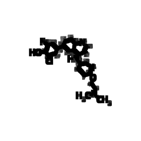 CN(C)CCOc1ccc(Nc2[c]cnc3ccc(-c4cc(F)c(O)c(Cl)c4)cc23)cn1